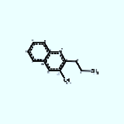 CCCc1nc2ccccc2cc1C